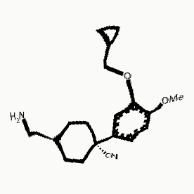 COc1ccc([C@]2(C#N)CC[C@H](CN)CC2)cc1OCC1CC1